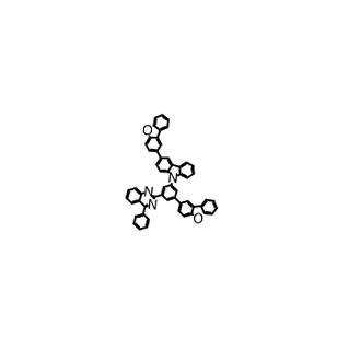 c1ccc(-c2nc(-c3cc(-c4ccc5oc6ccccc6c5c4)cc(-n4c5ccccc5c5cc(-c6ccc7oc8ccccc8c7c6)ccc54)c3)nc3ccccc23)cc1